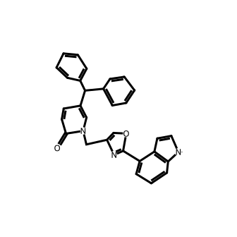 O=c1ccc(C(c2ccccc2)c2ccccc2)cn1Cc1coc(-c2cccc3c2C=C[N]3)n1